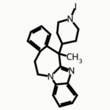 CC1(C2CCN(I)CC2)c2ccccc2CCn2c1nc1ccccc12